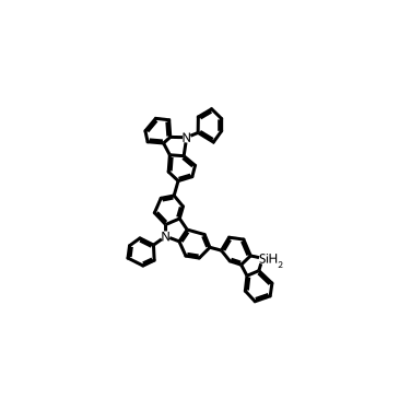 c1ccc(-n2c3ccccc3c3cc(-c4ccc5c(c4)c4cc(-c6ccc7c(c6)-c6ccccc6[SiH2]7)ccc4n5-c4ccccc4)ccc32)cc1